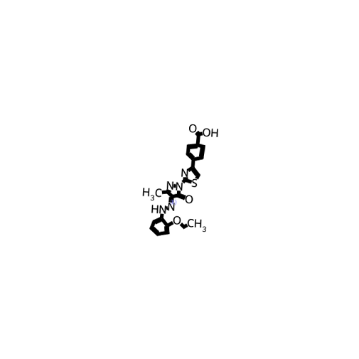 CCOc1ccccc1N/N=C1/C(=O)N(c2nc(-c3ccc(C(=O)O)cc3)cs2)N=C1C